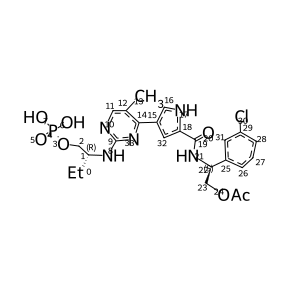 CC[C@H](COP(=O)(O)O)Nc1ncc(C)c(-c2c[nH]c(C(=O)N[C@H](COC(C)=O)c3cccc(Cl)c3)c2)n1